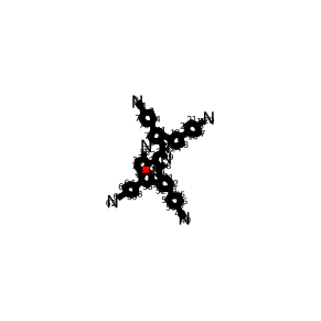 N#Cc1ccc(-c2ccc3c(c2)c2cc(-c4ccc(C#N)cc4)ccc2n3-c2cc(-c3ccccc3C#N)c(-n3c4ccc(-c5ccc(C#N)cc5)cc4c4cc(-c5ccc(C#N)cc5)ccc43)cn2)cc1